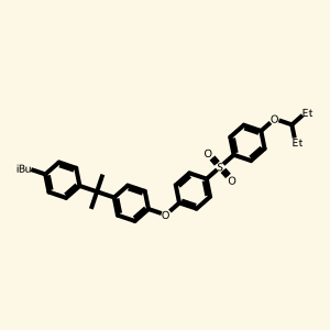 CCC(CC)Oc1ccc(S(=O)(=O)c2ccc(Oc3ccc(C(C)(C)c4ccc(C(C)CC)cc4)cc3)cc2)cc1